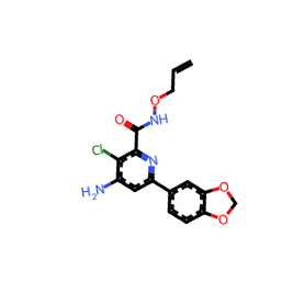 C=CCONC(=O)c1nc(-c2ccc3c(c2)OCO3)cc(N)c1Cl